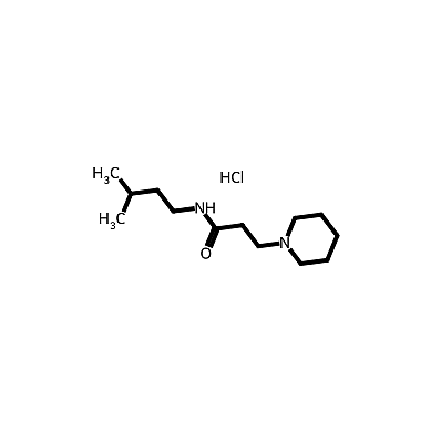 CC(C)CCNC(=O)CCN1CCCCC1.Cl